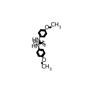 CCOc1ccc(NC(=S)Nc2ccc(OCC)cc2)cc1.[PbH2]